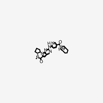 CN(C)C(=O)c1cc2cnc(Nc3ccc(C(=O)N4CC5CCCC(C4)N5)cn3)nc2n1C1CCCC1